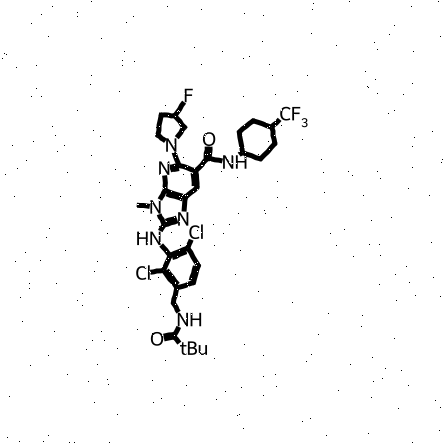 Cn1c(Nc2c(Cl)ccc(CNC(=O)C(C)(C)C)c2Cl)nc2cc(C(=O)NC3CCC(C(F)(F)F)CC3)c(N3CCC(F)C3)nc21